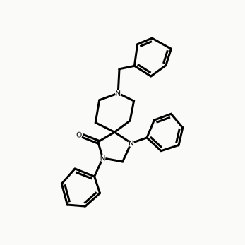 O=C1N(c2ccccc2)CN(c2ccccc2)C12CCN(Cc1ccccc1)CC2